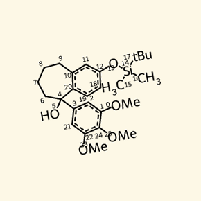 COc1cc(C2(O)CCCCc3cc(O[Si](C)(C)C(C)(C)C)ccc32)cc(OC)c1OC